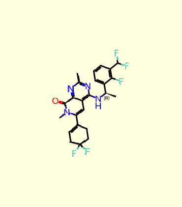 Cc1nc(N[C@H](C)c2cccc(C(F)F)c2F)c2cc(C3=CCC(F)(F)CC3)n(C)c(=O)c2n1